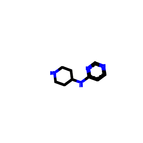 [c]1nccc(NC2CCNCC2)n1